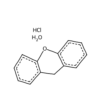 Cl.O.c1ccc2c(c1)Cc1ccccc1O2